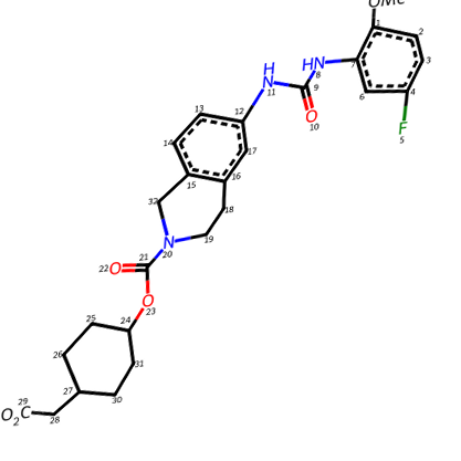 COc1ccc(F)cc1NC(=O)Nc1ccc2c(c1)CCN(C(=O)OC1CCC(CC(=O)O)CC1)C2